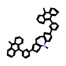 Cc1c2ccccc2c(-c2cccc(-c3ccc4c(c3)C=Cc3cc(-c5cccc(-c6c7ccccc7c(C)c7ccccc67)c5)ccc3N4C)c2)c2ccccc12